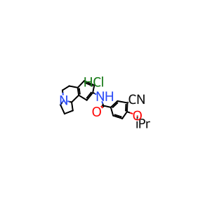 CC(C)Oc1ccc(C(=O)Nc2ccc3c(c2)C2CCCN2CC3)cc1C#N.Cl